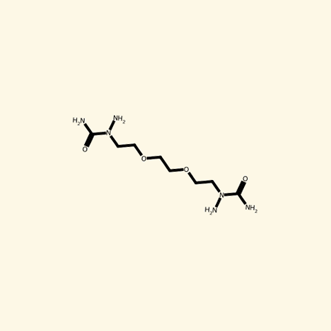 NC(=O)N(N)CCOCCOCCN(N)C(N)=O